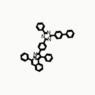 c1ccc(-c2ccc(-c3nc(-c4ccccc4)nc(-c4ccc(-c5nn6c(-c7ccccc7)cc7ccccc7c6c5-c5ccccc5)cc4)n3)cc2)cc1